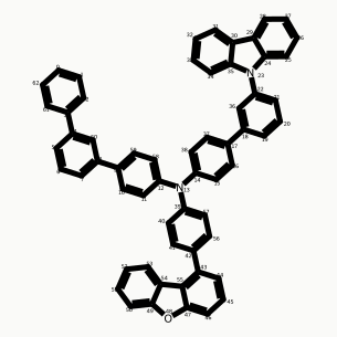 c1ccc(-c2cccc(-c3ccc(N(c4ccc(-c5cccc(-n6c7ccccc7c7ccccc76)c5)cc4)c4ccc(-c5cccc6oc7ccccc7c56)cc4)cc3)c2)cc1